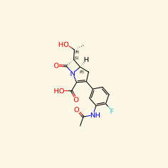 CC(=O)Nc1cc(C2=C(C(=O)O)N3C(=O)[C@H]([C@@H](C)O)[C@H]3C2)ccc1F